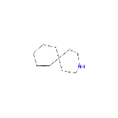 [CH]1CNCCC12CCCCC2